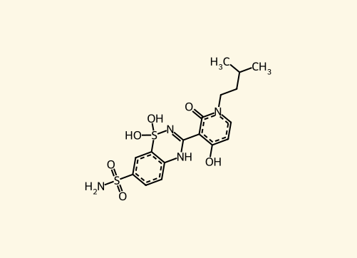 CC(C)CCn1ccc(O)c(C2=NS(O)(O)c3cc(S(N)(=O)=O)ccc3N2)c1=O